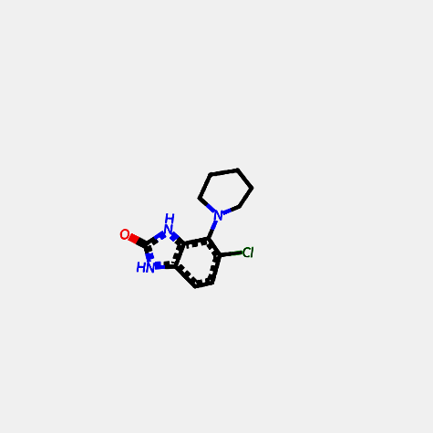 O=c1[nH]c2ccc(Cl)c(N3CCCCC3)c2[nH]1